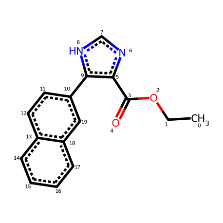 CCOC(=O)c1nc[nH]c1-c1ccc2ccccc2c1